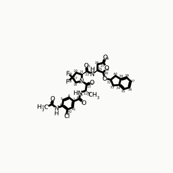 CC(=O)Nc1ccc(C(=O)N[C@@H](C)C(=O)N2CC(F)(F)C[C@H]2C(=O)N[C@H]2CC(=O)OC2OC2Cc3ccccc3C2)cc1Cl